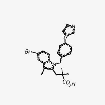 Cc1c(CC(C)(C)C(=O)O)n(Cc2ccc(-n3ccnc3)cc2)c2ccc(Br)cc12